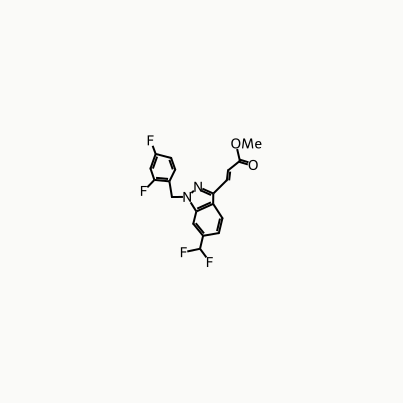 COC(=O)C=Cc1nn(Cc2ccc(F)cc2F)c2cc(C(F)F)ccc12